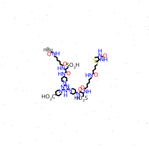 CCCCC(=O)NCCCCCC(=O)NC(CS(=O)(=O)O)C(=O)NC1CCN(C2=NC(N3CCC(C(=O)O)CC3)NC(N3CCC(NC(=O)C(CS(=O)(=O)O)NC(=O)CCCCCNC(=O)CCCC[C@@H]4SCC5NC(=O)NC54)CC3)=N2)CC1